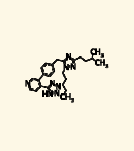 CCCCCn1nc(CCC(C)C)nc1Cc1ccc(-c2cnccc2-c2nnn[nH]2)cc1